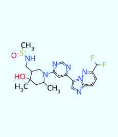 CC1CC(C)(O)C(CN[S+](C)[O-])CN1c1cc(-c2cnc3ccc(C(F)F)nn23)ncn1